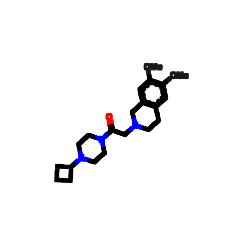 COc1cc2c(cc1OC)CN(CC(=O)N1CCN(C3CCC3)CC1)CC2